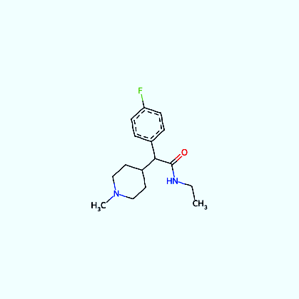 CCNC(=O)C(c1ccc(F)cc1)C1CCN(C)CC1